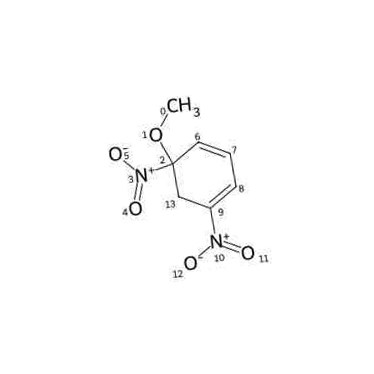 COC1([N+](=O)[O-])C=CC=C([N+](=O)[O-])C1